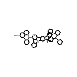 CC(C)(C)c1cccc(-c2ccccc2N(c2ccccc2)c2ccc3c4cc5c(cc4n4c6ccccc6c2c34)c2ccc(N(c3ccccc3)c3ccccc3-c3cccc(C(C)(C)C)c3)c3c4ccccc4n5c23)c1